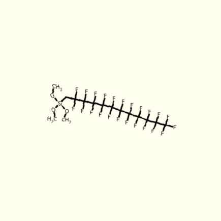 CO[Si](CC(F)(F)C(F)(F)C(F)(F)C(F)(F)C(F)(F)C(F)(F)C(F)(F)C(F)(F)C(F)(F)C(F)(F)C(F)(F)F)(OC)OC